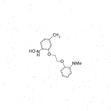 CNc1ccccc1OCCOc1cc(C)ccc1NO